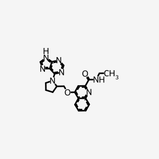 CCNC(=O)c1cc(OCC2CCCN2c2ncnc3[nH]cnc23)c2ccccc2n1